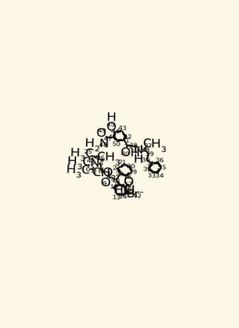 CC(C)[N+](C)(CCOC(=O)C1c2ccccc2Oc2ccccc21)C(C)C.CC(CCc1ccccc1)NCC(O)c1ccc(O)c(C(N)=O)c1.Cl.[Br-]